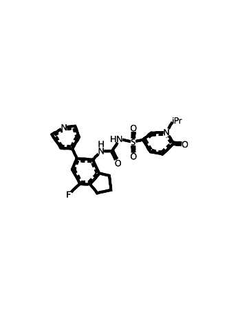 CC(C)n1cc(S(=O)(=O)NC(=O)Nc2c(-c3ccncc3)cc(F)c3c2CCC3)ccc1=O